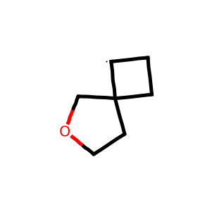 [CH]1CCC12CCOC2